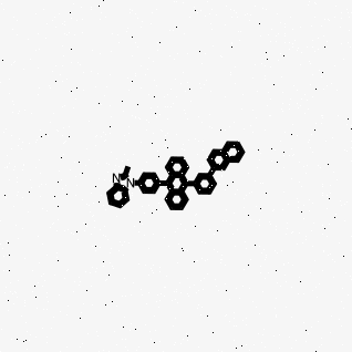 Cc1nc2ccccc2n1-c1ccc(-c2c3ccccc3c(-c3cccc(-c4ccc5ccccc5c4)c3)c3ccccc23)cc1